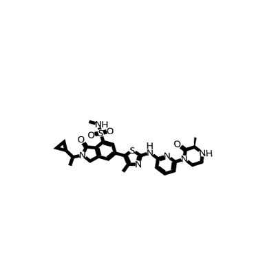 CNS(=O)(=O)c1cc(-c2sc(Nc3cccc(N4CCN[C@H](C)C4=O)n3)nc2C)cc2c1C(=O)N(C(C)C1CC1)C2